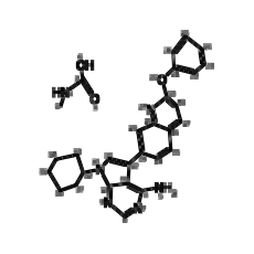 CNC(=O)O.Nc1ncnc2c1c(-c1ccc3ccc(Oc4ccccc4)nc3c1)cn2C1CCCCC1